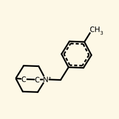 Cc1ccc(C[N+]23CCC(CC2)CC3)cc1